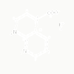 O=C([O-])c1ccnc2ncccc12.[K+]